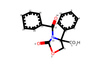 O=C1OCC(C(=O)O)(c2ccccc2)N1C(=O)c1ccccc1